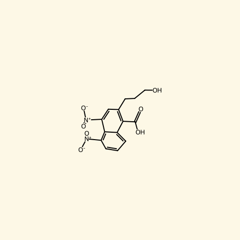 O=C(O)c1c(CCCO)cc([N+](=O)[O-])c2c([N+](=O)[O-])cccc12